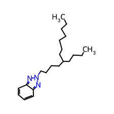 CCCCCCCC(CCCC)CCCCn1nc2ccccc2n1